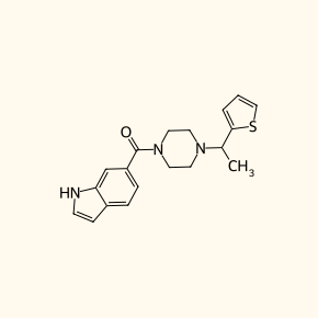 CC(c1cccs1)N1CCN(C(=O)c2ccc3cc[nH]c3c2)CC1